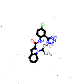 CC(C)n1c(C(=O)Nc2ccc(Cl)cc2-c2nnn[nH]2)cc2ccccc21